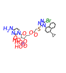 Nc1ccn(C2OC(COC(=O)CSc3nnc(Br)n3-c3ccc(C4CC4)c4ccccc34)C(OP(=O)(O)O)C2O)c(=O)n1